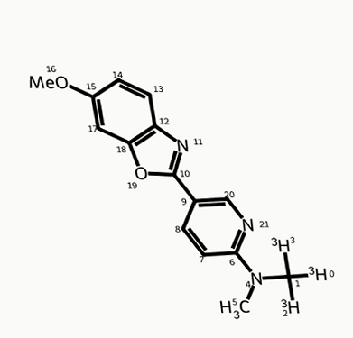 [3H]C([3H])([3H])N(C)c1ccc(-c2nc3ccc(OC)cc3o2)cn1